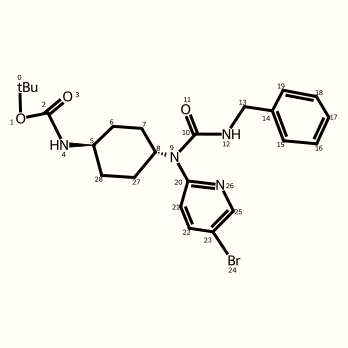 CC(C)(C)OC(=O)N[C@H]1CC[C@H](N(C(=O)NCc2ccccc2)c2ccc(Br)cn2)CC1